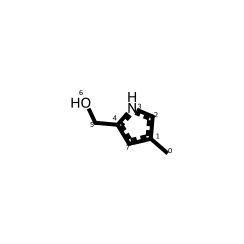 Cc1c[nH]c(CO)c1